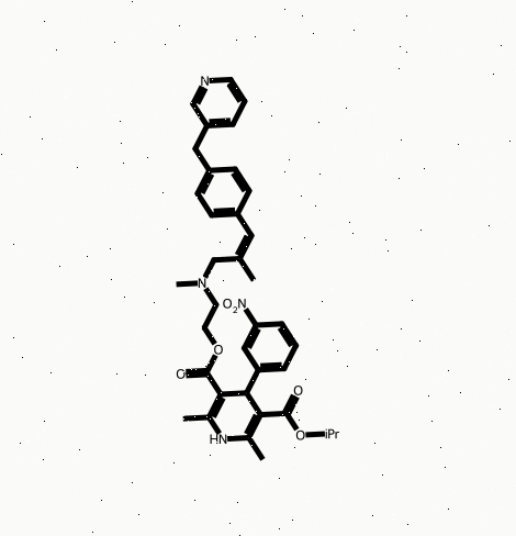 CC(=Cc1ccc(Cc2cccnc2)cc1)CN(C)CCOC(=O)C1=C(C)NC(C)=C(C(=O)OC(C)C)C1c1cccc([N+](=O)[O-])c1